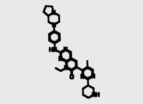 CCn1c(=O)c(-c2nc(C3CCCNC3)ncc2C)cc2cnc(Nc3ccc(N4CCN5CCCC5C4)cc3)nc21